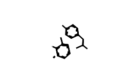 C=O.CC(C)Cc1ccc(O)cc1.Cc1ccccc1O